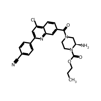 CCCOC(=O)N1CCN(C(=O)c2ccc3c(Cl)cc(-c4ccc(C#N)cc4)nc3c2)C[C@H]1N